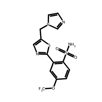 NS(=O)(=O)c1ccc(OC(F)(F)F)cc1-c1ncc(Cn2ccnc2)s1